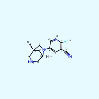 N#Cc1cc(N2C[C@H]3CNC[C@H]2C3)cnc1F